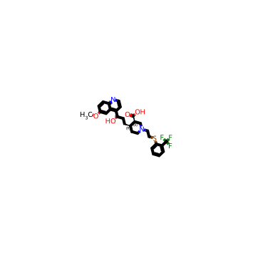 COc1ccc2nccc([C@H](O)CC[C@@H]3CCN(CCSc4ccccc4C(F)(F)F)C[C@@H]3C(=O)O)c2c1